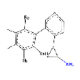 Cc1c(C)[c]([Re])c(-c2ccccc2C2CC2N)[c]([RaH])[c]1[Rb]